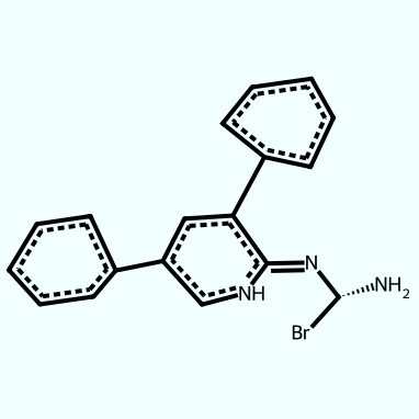 N[C@H](Br)/N=c1\[nH]cc(-c2ccccc2)cc1-c1ccccc1